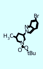 CC1CC(n2cc3ccc(Br)cc3n2)CN(C(=O)OC(C)(C)C)C1